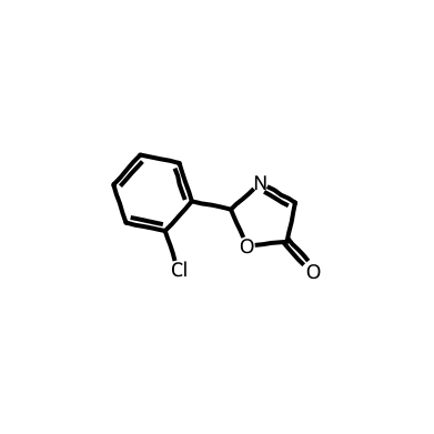 O=C1C=NC(c2ccccc2Cl)O1